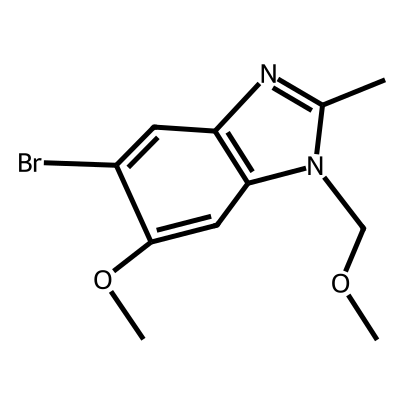 COCn1c(C)nc2cc(Br)c(OC)cc21